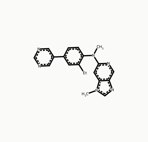 CCc1cc(-c2cncnc2)ccc1N(C)c1cc2c(cn1)ncn2C